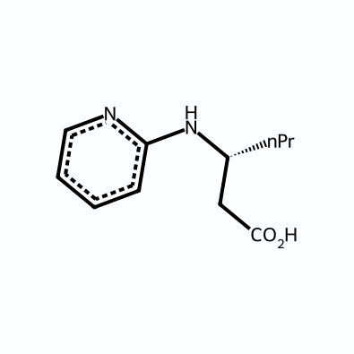 CCC[C@H](CC(=O)O)Nc1ccccn1